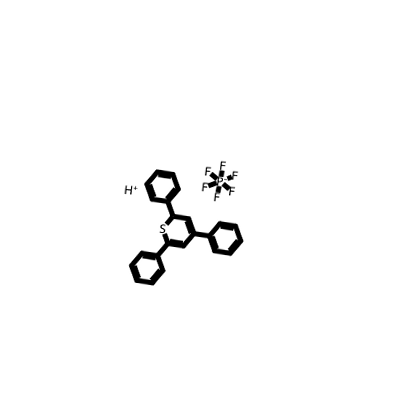 C1=C(c2ccccc2)C=C(c2ccccc2)SC1c1ccccc1.F[P-](F)(F)(F)(F)F.[H+]